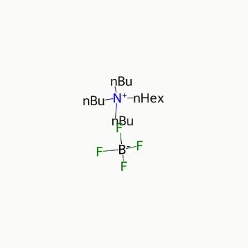 CCCCCC[N+](CCCC)(CCCC)CCCC.F[B-](F)(F)F